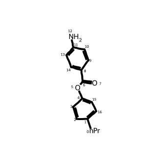 CCCc1ccc(OC(=O)c2ccc(N)cc2)cc1